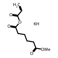 C=CC(=O)OC(=O)CCCCC(=O)OC.[KH]